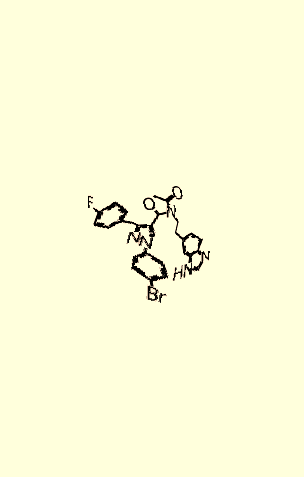 O=C1COC(c2cn(-c3ccc(Br)cc3)nc2-c2ccc(F)cc2)N1CCc1ccc2nc[nH]c2c1